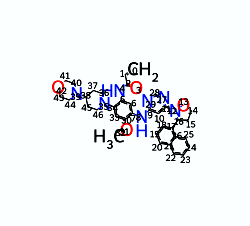 C=CC(=O)Nc1cc(Nc2cc(N3OCCC3c3cccc4ccccc34)ncn2)c(OC)cc1N1CCC(N2CCOCC2)CC1